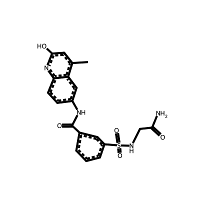 Cc1cc(O)nc2ccc(NC(=O)c3cccc(S(=O)(=O)NCC(N)=O)c3)cc12